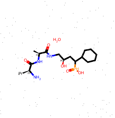 CC(C)[C@H](N)C(=O)N[C@@H](C)C(=O)NC[C@H](O)CC(C1CCCCC1)[PH](=O)O.O